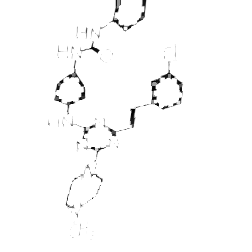 CN1CCN(c2nc(/C=C/c3cccc(Cl)c3)nc(Nc3ccc(NC(=O)Nc4ccc(Cl)cc4)cc3)n2)CC1